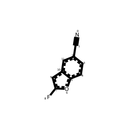 N#Cc1ccc2oc(F)cc2c1